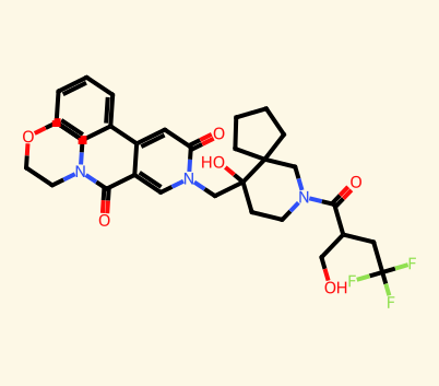 O=C(c1cn(CC2(O)CCN(C(=O)C(CO)CC(F)(F)F)CC23CCCC3)c(=O)cc1-c1ccccc1)N1CCOCC1